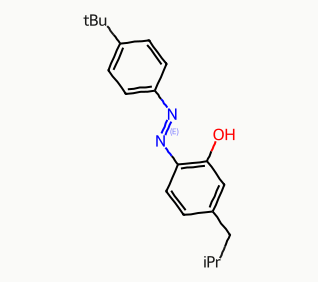 CC(C)Cc1ccc(/N=N/c2ccc(C(C)(C)C)cc2)c(O)c1